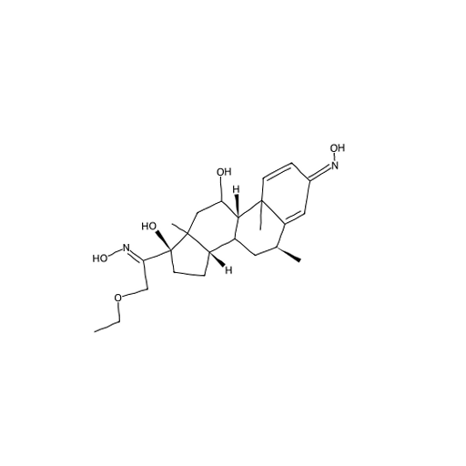 CCOC/C(=N\O)[C@@]1(O)CC[C@H]2C3C[C@H](C)C4=C/C(=N/O)C=CC4(C)[C@H]3C(O)CC21C